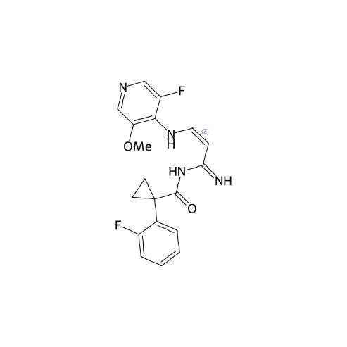 COc1cncc(F)c1N/C=C\C(=N)NC(=O)C1(c2ccccc2F)CC1